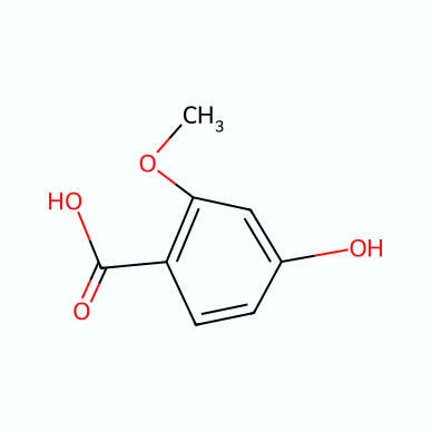 COc1cc(O)ccc1C(=O)O